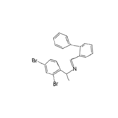 CC(/N=C/c1ccccc1-c1ccccc1)c1ccc(Br)cc1Br